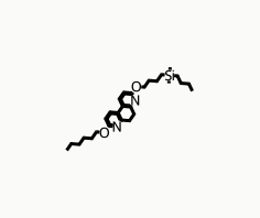 CCCCCCOc1ccc2c(n1)CCc1nc(OCCCC[Si](C)(C)CCCC)ccc1-2